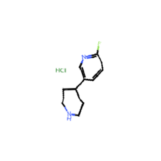 Cl.Fc1ccc(C2CCNCC2)cn1